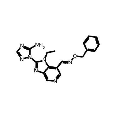 CCn1c(-n2ncnc2N)nc2cncc(/C=N/OCc3ccccc3)c21